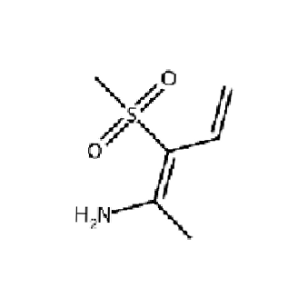 C=C/C(=C(\C)N)S(C)(=O)=O